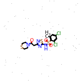 Cc1cc(Cl)cc(Cl)c1S(=O)(=O)Nc1nc(CC(=O)N2CCSCC2)ns1